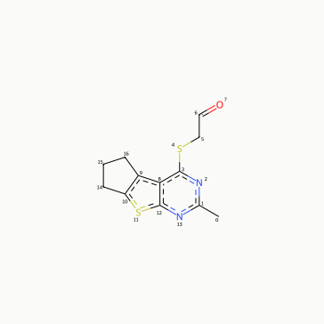 Cc1nc(SC[C]=O)c2c3c(sc2n1)CCC3